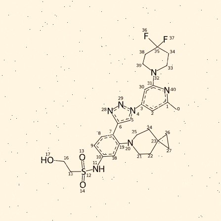 Cc1cc(-n2cc(-c3ccc(NS(=O)(=O)CCO)cc3N3CCC4(CC3)CC4)nn2)cc(N2CCC(F)(F)CC2)n1